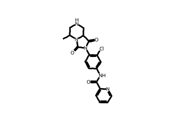 CC1CNCC2C(=O)N(c3ccc(NC(=O)c4ccccn4)cc3Cl)C(=O)N12